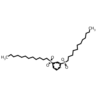 CCCCCCCCCCCCS(=O)(=O)c1[c]ccc(S(=O)(=O)CCCCCCCCCCCC)c1